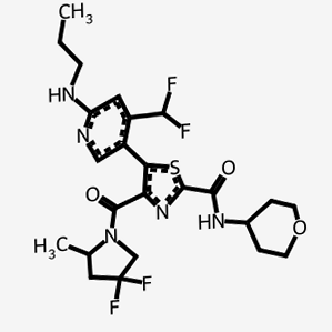 CCCNc1cc(C(F)F)c(-c2sc(C(=O)NC3CCOCC3)nc2C(=O)N2CC(F)(F)CC2C)cn1